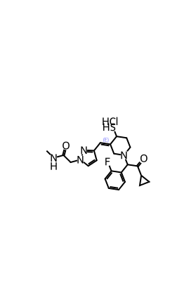 CNC(=O)Cn1ccc(/C=C2\CN(C(C(=O)C3CC3)c3ccccc3F)CCC2S)n1.Cl